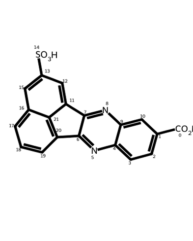 O=C(O)c1ccc2nc3c(nc2c1)-c1cc(S(=O)(=O)O)cc2cccc-3c12